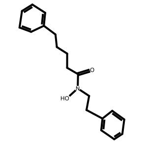 O=C(CCCCc1ccccc1)N(O)CCc1ccccc1